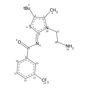 Cc1c(C(C)(C)C)sc(=NC(=O)c2cccc(C(F)(F)F)c2)n1CCN